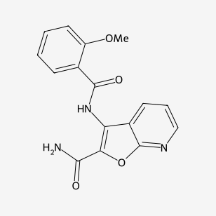 COc1ccccc1C(=O)Nc1c(C(N)=O)oc2ncccc12